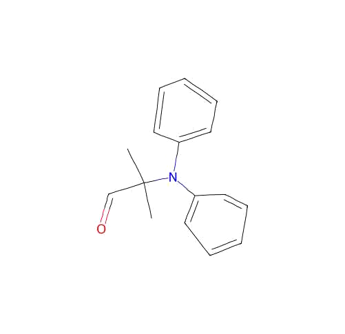 CC(C)(C=O)N(c1ccccc1)c1ccccc1